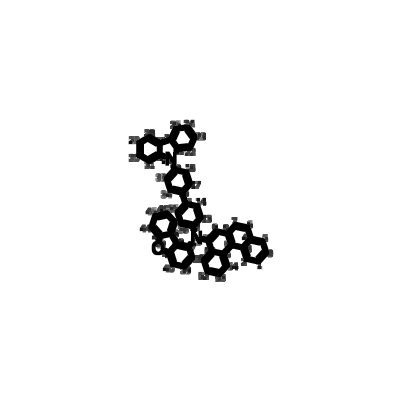 c1ccc2c(c1)ccc1cc(N(c3ccc(-c4ccc(-n5c6ccccc6c6ccccc65)cc4)cc3)c3cccc4oc5ccccc5c34)c3ccccc3c12